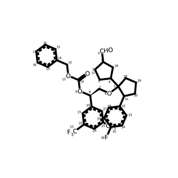 O=CC1CCC(C2(OC[C@H](OC(=O)OCc3ccccc3)c3cc(C(F)(F)F)cc(C(F)(F)F)c3)CCCC2c2ccc(F)cc2)C1